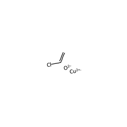 C=CCl.[Cu+2].[O-2]